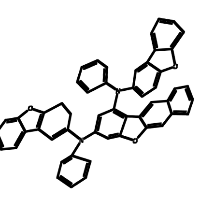 C1=C(N(c2ccccc2)c2cc(N(c3ccccc3)c3ccc4oc5ccccc5c4c3)c3c(c2)oc2cc4ccccc4cc23)CCc2oc3ccccc3c21